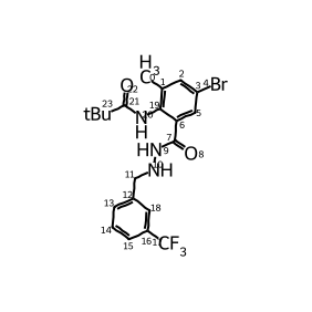 Cc1cc(Br)cc(C(=O)NNCc2cccc(C(F)(F)F)c2)c1NC(=O)C(C)(C)C